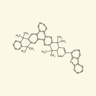 CC1(C)c2ccccc2C(C)(C)c2cc3c(cc21)c1ccccc1c1cc2c(cc31)C(C)(C)C1C=CC(c3cccc4c3sc3ccccc34)=CC1C2(C)C